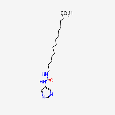 O=C(O)CCCCCCCCCCCCCNC(=O)Nc1cncnc1